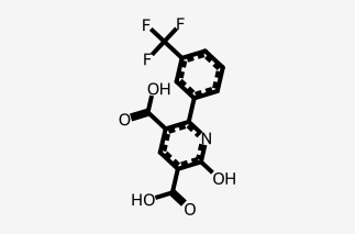 O=C(O)c1cc(C(=O)O)c(-c2cccc(C(F)(F)F)c2)nc1O